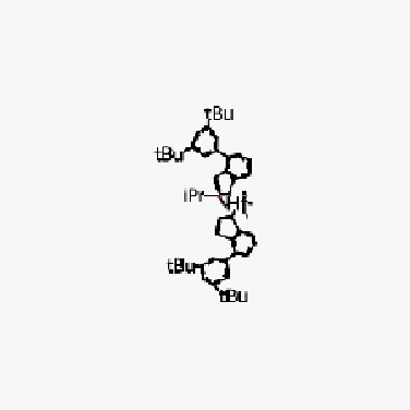 CC(C)C[CH]=[Hf]([CH3])([CH3])([CH3])([CH]1C=Cc2c(-c3cc(C(C)(C)C)cc(C(C)(C)C)c3)cccc21)[CH]1C=Cc2c(-c3cc(C(C)(C)C)cc(C(C)(C)C)c3)cccc21